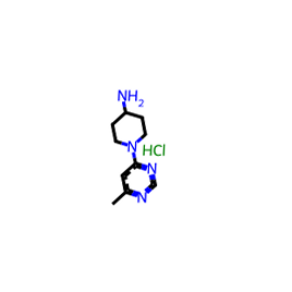 Cc1cc(N2CCC(N)CC2)ncn1.Cl